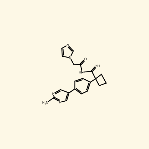 N=C(NC(=O)Cn1ccnc1)C1(c2ccc(-c3cnc(N)nc3)cc2)CCC1